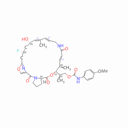 COc1ccc(NC(=O)OC[C@@H](C)[C@H]2OC(=O)[C@H]3CCCN3C(=O)c3coc(n3)C[C@H](F)C[C@H](O)/C=C(C)/C=C/CNC(=O)/C=C/[C@H]2C)cc1